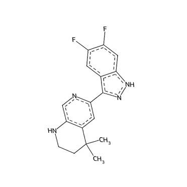 CC1(C)CCNc2cnc(-c3n[nH]c4cc(F)c(F)cc34)cc21